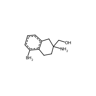 Bc1cccc2c1CCC(N)(CO)C2